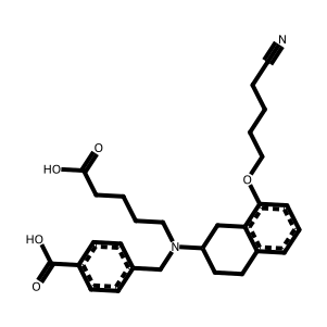 N#CCCCCOc1cccc2c1CC(N(CCCCC(=O)O)Cc1ccc(C(=O)O)cc1)CC2